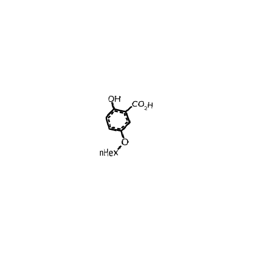 CCCCCCOc1ccc(O)c(C(=O)O)c1